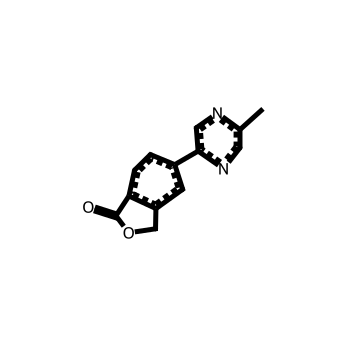 Cc1cnc(-c2ccc3c(c2)COC3=O)cn1